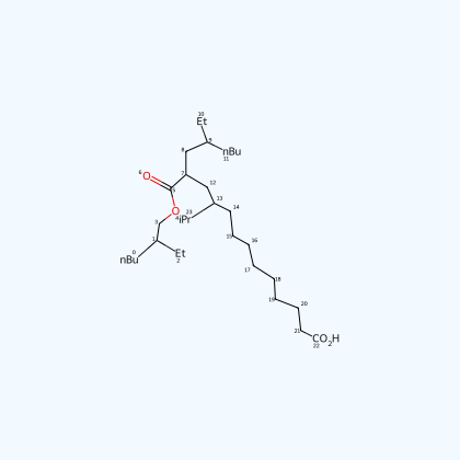 CCCCC(CC)COC(=O)C(CC(CC)CCCC)CC(CCCCCCCCC(=O)O)C(C)C